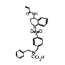 C=CC(=O)NC1CCN(S(=O)(=O)c2ccc(CN(Cc3ccccc3)C(=O)O)cc2)c2ccccc21